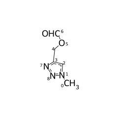 Cn1cc(COC=O)nn1